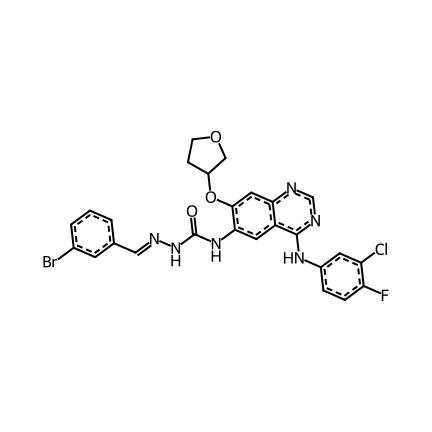 O=C(N/N=C/c1cccc(Br)c1)Nc1cc2c(Nc3ccc(F)c(Cl)c3)ncnc2cc1OC1CCOC1